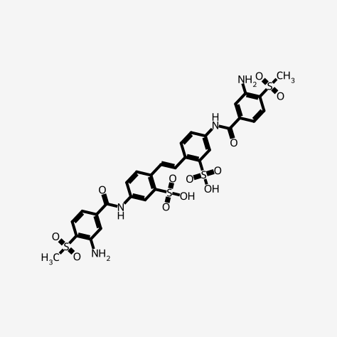 CS(=O)(=O)c1ccc(C(=O)Nc2ccc(/C=C/c3ccc(NC(=O)c4ccc(S(C)(=O)=O)c(N)c4)cc3S(=O)(=O)O)c(S(=O)(=O)O)c2)cc1N